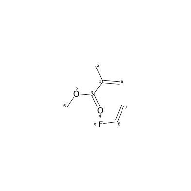 C=C(C)C(=O)OC.C=CF